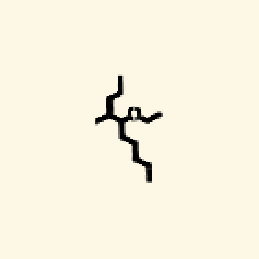 CCC=C(C)C(CCCCC)OCC